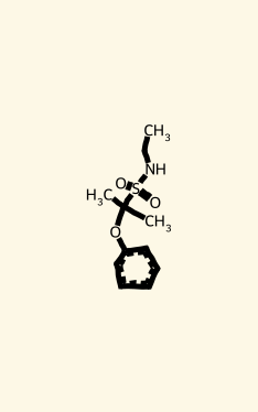 CCNS(=O)(=O)C(C)(C)Oc1ccccc1